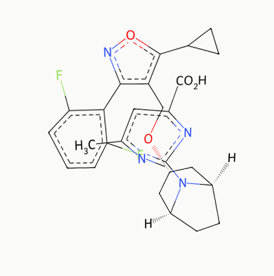 Cc1cc(C(=O)O)nc(N2[C@@H]3CC[C@H]2C[C@H](OCc2c(-c4c(F)cccc4F)noc2C2CC2)C3)n1